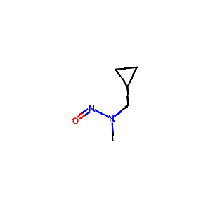 CN(CC1CC1)N=O